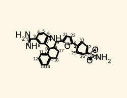 N=C(N)c1ccc2c(c1)C1c3ccccc3CCC1C(c1ccc(-c3ccc(S(N)(=O)=O)cc3)o1)N2